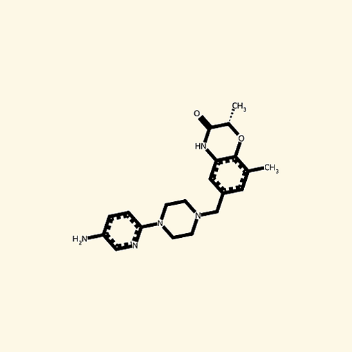 Cc1cc(CN2CCN(c3ccc(N)cn3)CC2)cc2c1O[C@@H](C)C(=O)N2